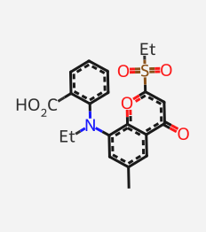 CCN(c1ccccc1C(=O)O)c1cc(C)cc2c(=O)cc(S(=O)(=O)CC)oc12